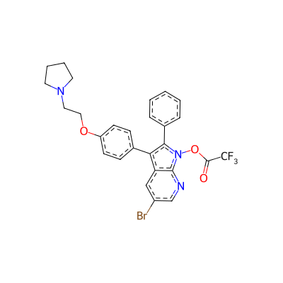 O=C(On1c(-c2ccccc2)c(-c2ccc(OCCN3CCCC3)cc2)c2cc(Br)cnc21)C(F)(F)F